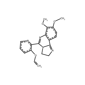 C=COc1cccnc1C1=Nc2c(ccc(OC)c2OC)C2=NCCN21